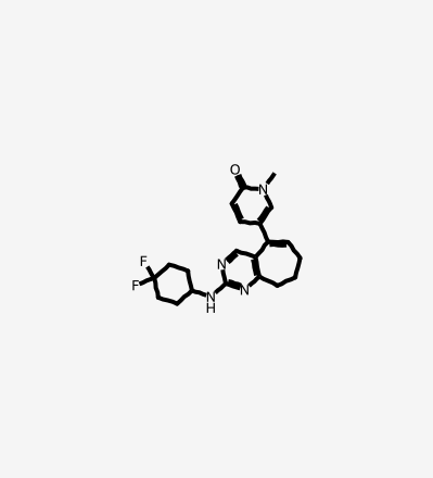 Cn1cc(C2=CCCCc3nc(NC4CCC(F)(F)CC4)ncc32)ccc1=O